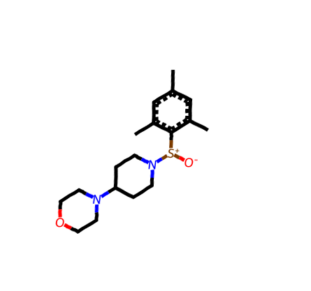 Cc1cc(C)c([S+]([O-])N2CCC(N3CCOCC3)CC2)c(C)c1